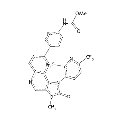 COC(=O)Nc1ccc(-c2ccc3ncc4c(c3c2)n(-c2ccc(C(F)(F)F)nc2C)c(=O)n4C)cn1